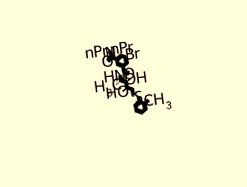 CCCN(CCC)C(=O)c1cc(Br)cc(C(=O)N[C@@H](C)[C@@H](O)[C@H](O)CCSc2ccccc2C)c1